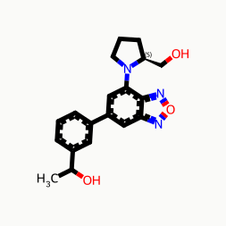 CC(O)c1cccc(-c2cc(N3CCC[C@H]3CO)c3nonc3c2)c1